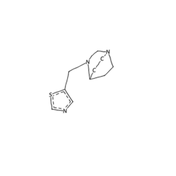 c1ncc(CN2CCN3CCC2CC3)s1